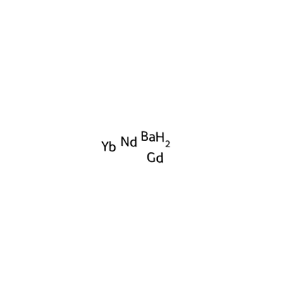 [BaH2].[Gd].[Nd].[Yb]